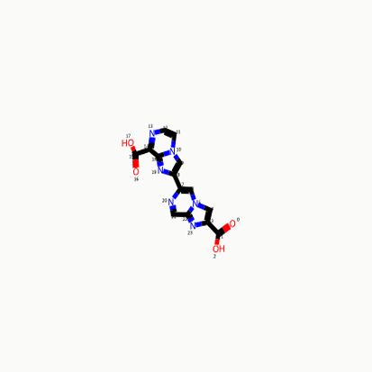 O=C(O)c1cn2cc(-c3cn4ccnc(C(=O)O)c4n3)ncc2n1